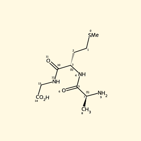 CSCC[C@H](NC(=O)[C@H](C)N)C(=O)NCC(=O)O